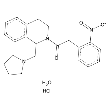 Cl.O.O=C(Cc1ccccc1[N+](=O)[O-])N1CCc2ccccc2C1CN1CCCC1